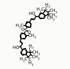 Cc1cc(C=CC(O)c2ccc3c(c2)C(C)(C)C(C)C3(C)C)ccc1S(=O)(=O)c1ccc(C=CC(O)c2ccc3c(c2)C(C)(C)C(C)C3(C)C)cc1C